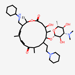 CCC1OC(=O)CC(O)C(C)C(O[C@@H]2O[C@H](C)[C@@H](O)[C@H](N(C)C)[C@H]2O)C(CCN2CCCCC2)CC(C)C(=O)C=CC(C)=CC1CNC1CCCCC1